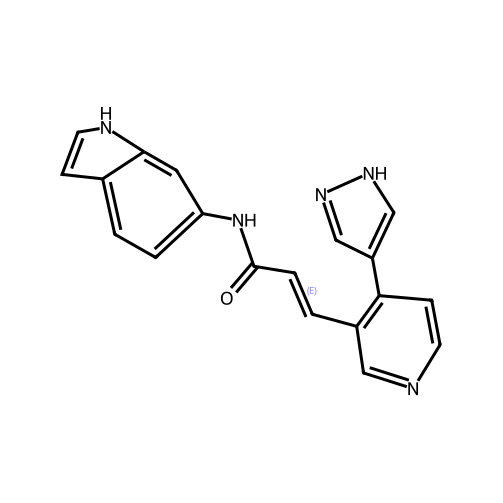 O=C(/C=C/c1cnccc1-c1cn[nH]c1)Nc1ccc2cc[nH]c2c1